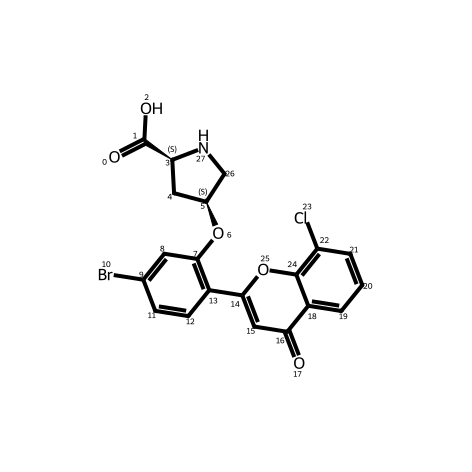 O=C(O)[C@@H]1C[C@H](Oc2cc(Br)ccc2-c2cc(=O)c3cccc(Cl)c3o2)CN1